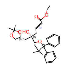 CCOC(=O)/C=C/C[C@@](O)(CO[Si](c1ccccc1)(c1ccccc1)C(C)(C)C)C[C@@H]1COC(C)(C)O1